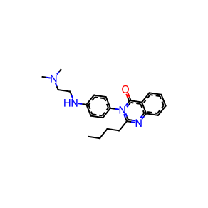 CCCCc1nc2ccccc2c(=O)n1-c1ccc(NCCN(C)C)cc1